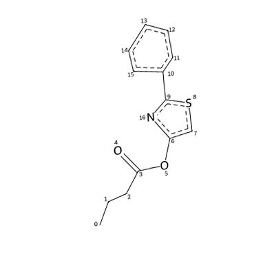 CCCC(=O)Oc1csc(-c2ccccc2)n1